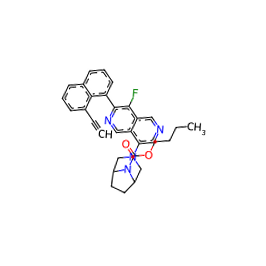 C#Cc1cccc2cccc(-c3ncc4c(N5CC6CCC(C5)N6C(=O)OCCCC)cncc4c3F)c12